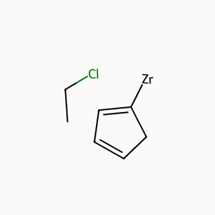 CCCl.[Zr][C]1=CC=CC1